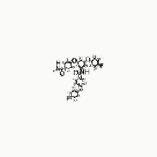 CNC(=O)c1ccc(Oc2cc(NC(=O)N3CCN(Cc4ccc(F)cc4)CC3)cc(Oc3ccc(F)cc3)c2)cc1